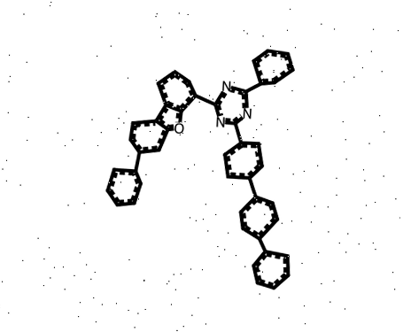 c1ccc(-c2ccc(-c3ccc(-c4nc(-c5ccccc5)nc(-c5cccc6c5oc5cc(-c7ccccc7)ccc56)n4)cc3)cc2)cc1